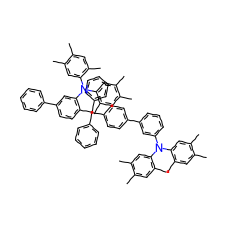 Cc1cc(C)c(N(c2cccc(-c3ccc(C(c4ccccc4)(c4ccccc4)c4ccc(-c5ccccc5)cc4N(c4cc(C)c(C)cc4C)c4cc(C)c(C)cc4C)cc3)c2)c2cc(C)c(C)cc2C)cc1C